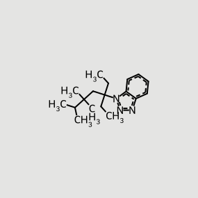 CCC(CC)(CC(C)(C)C(C)C)n1nnc2ccccc21